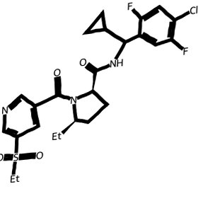 CC[C@@H]1CC[C@H](C(=O)NC(c2cc(F)c(Cl)cc2F)C2CC2)N1C(=O)c1cncc(S(=O)(=O)CC)c1